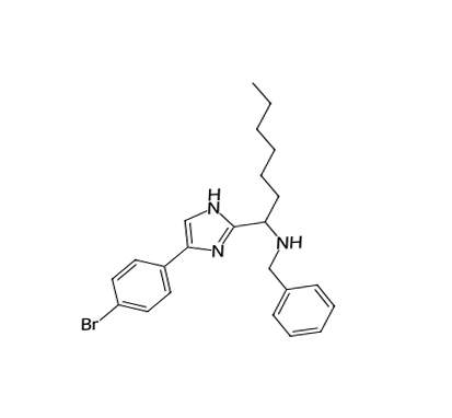 CCCCCCC(NCc1ccccc1)c1nc(-c2ccc(Br)cc2)c[nH]1